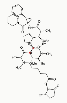 CC[C@H](C)[C@@H]([C@@H](CC(=O)N1CCC[C@H]1[C@H](OC)[C@@H](C)C(=O)N[C@@]1(C(=O)N2CCCCO2)C[C@@H]1c1ccccc1)OC)N(C)[C@H](C(=O)NC(=O)[C@H](C(C)C)N(C)CCCCCC(=O)ON1C(=O)CCC1=O)C(C)C